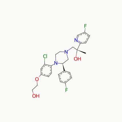 C[C@@](O)(CN1CCN(c2ccc(OCCO)cc2Cl)[C@H](c2ccc(F)cc2)C1)c1ccc(F)cn1